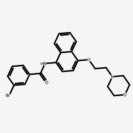 O=C(Nc1ccc(OCCN2CCOCC2)c2ccccc12)c1cccc(Br)c1